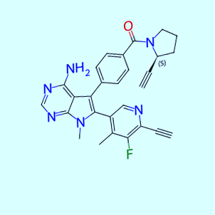 C#Cc1ncc(-c2c(-c3ccc(C(=O)N4CCC[C@H]4C#C)cc3)c3c(N)ncnc3n2C)c(C)c1F